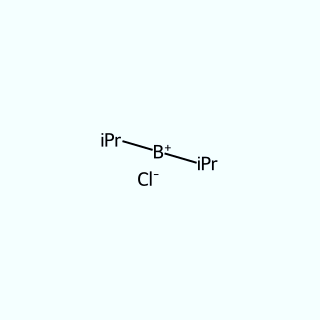 CC(C)[B+]C(C)C.[Cl-]